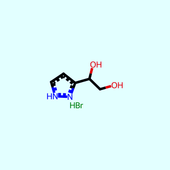 Br.OCC(O)c1cc[nH]n1